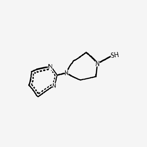 SN1CCN(c2ncccn2)CC1